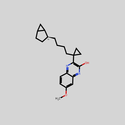 COc1ccc2nc(C3(CCCC[C@H]4CCC5CC54)CC3)c(O)nc2c1